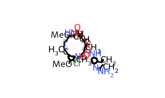 C=C/C(N)=N\c1ccc(NC(=O)O[C@H]2CC(=O)N(C)c3cc(cc(OC)c3Cl)C/C(C)=C/C=C/[C@@H](OC)[C@@]3(O)C[C@@H](C[C@@H]4O[C@@]24C)OC(=O)N3)cc1C=C